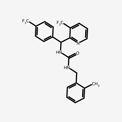 Cc1ccccc1CNC(=O)NC(c1ccc(C(F)(F)F)cc1)c1ncccc1C(F)(F)F